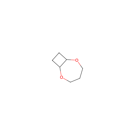 C1COC2CCC2OC1